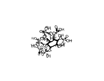 O=P(O)(O)OC1C(O)C(OP(=O)(O)OP(=O)(O)O)C(OP(=O)(O)O)C(OP(=O)(O)O)C1OP(=O)(O)O